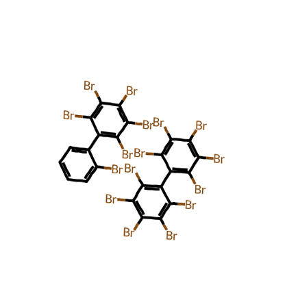 Brc1c(Br)c(Br)c(-c2c(Br)c(Br)c(Br)c(Br)c2Br)c(Br)c1Br.Brc1ccccc1-c1c(Br)c(Br)c(Br)c(Br)c1Br